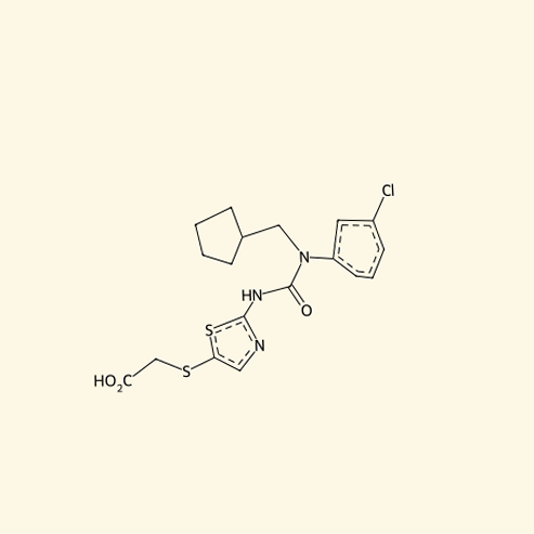 O=C(O)CSc1cnc(NC(=O)N(CC2CCCC2)c2cccc(Cl)c2)s1